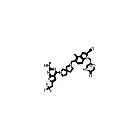 CNc1nc(N2CCC3(CCN(Cc4ccc5c(cc(C#N)n5C[C@@H]5CNC(=O)CO5)c4C)C3)C2)c2cc(CC(F)(F)F)sc2n1